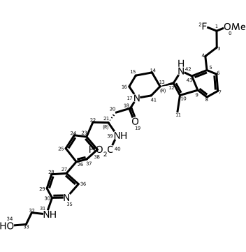 COC(F)CCc1cccc2c(C)c([C@@H]3CCCN(C(=O)C[C@@H](Cc4ccc(-c5ccc(NCCO)nc5)cc4)NC(=O)O)C3)[nH]c12